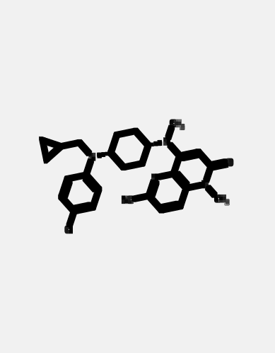 Cn1c(=O)cc(N(C)[C@H]2CC[C@@H](N(CC3CC3)c3ccc(Cl)cc3)CC2)c2nc(C#N)ccc21